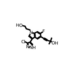 CC(C)(O)C#Cc1cc2c(-c3c[nH]nc3Cl)cn(CCCO)c2cc1F